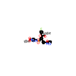 CNC(=O)c1c(-c2ccc(F)cc2)oc2cc(CS(=O)(=O)NCC3CCN(C(=O)OC(C)(C)C)CC3)c(-c3cccc(-c4nc5ncccc5o4)c3)cc12